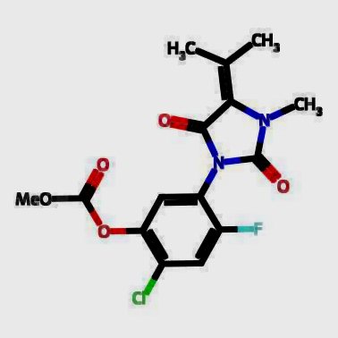 COC(=O)Oc1cc(N2C(=O)C(=C(C)C)N(C)C2=O)c(F)cc1Cl